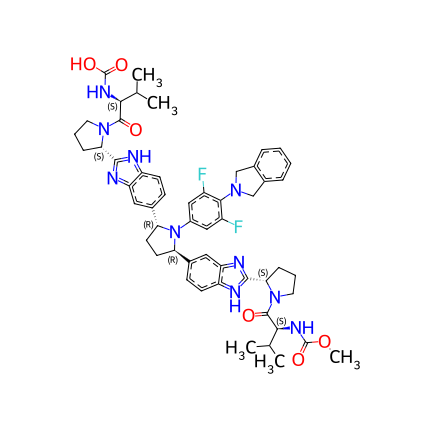 COC(=O)N[C@H](C(=O)N1CCC[C@H]1c1nc2cc([C@H]3CC[C@H](c4ccc5[nH]c([C@@H]6CCCN6C(=O)[C@@H](NC(=O)O)C(C)C)nc5c4)N3c3cc(F)c(N4Cc5ccccc5C4)c(F)c3)ccc2[nH]1)C(C)C